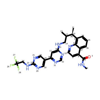 CNC(=O)c1ccnc2c([C@H](C)C(C)CNc3cc(-c4cnc(NCC(F)(F)F)nc4)ncn3)cccc12